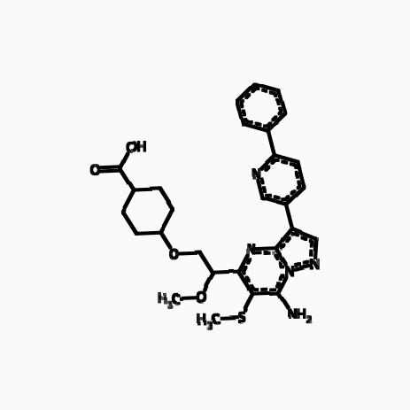 COC(COC1CCC(C(=O)O)CC1)c1nc2c(-c3ccc(-c4ccccc4)nc3)cnn2c(N)c1SC